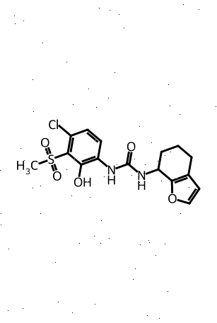 CS(=O)(=O)c1c(Cl)ccc(NC(=O)NC2CCCc3ccoc32)c1O